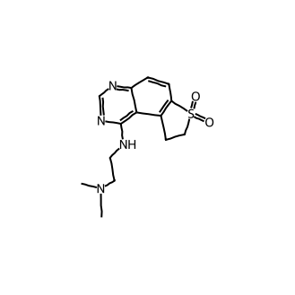 CN(C)CCNc1ncnc2ccc3c(c12)CCS3(=O)=O